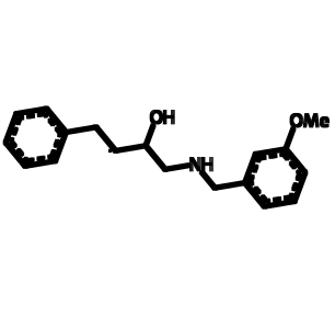 COc1cccc(CNCC(O)[CH]Cc2ccccc2)c1